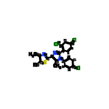 CCc1sc(-c2nc(-c3ccc(Cl)cc3Cl)n(-c3ccc(Cl)cc3)c2C)nc1C